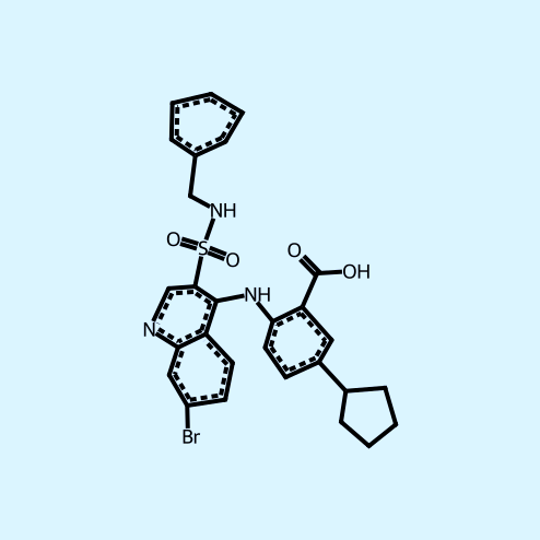 O=C(O)c1cc(C2CCCC2)ccc1Nc1c(S(=O)(=O)NCc2ccccc2)cnc2cc(Br)ccc12